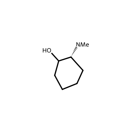 CN[C@@H]1CCCCC1O